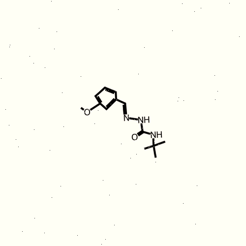 COc1cccc(/C=N/NC(=O)NC(C)(C)C)c1